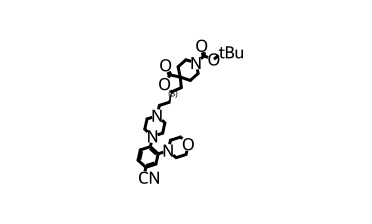 CC(C)(C)OC(=O)N1CCC2(CC1)C[C@@H](CCN1CCN(c3ccc(C#N)cc3N3CCOCC3)CC1)OC2=O